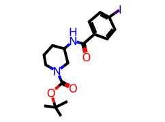 CC(C)(C)OC(=O)N1CCCC(NC(=O)c2ccc(I)cc2)C1